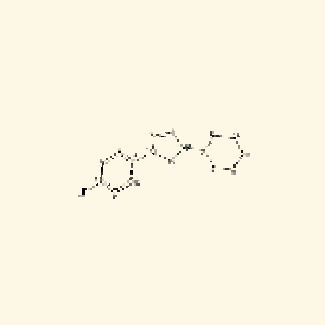 Fc1ccc(N2C=CN(C3CCCCC3)C2)cc1